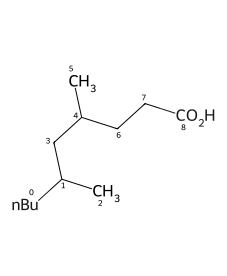 CCCCC(C)CC(C)CCC(=O)O